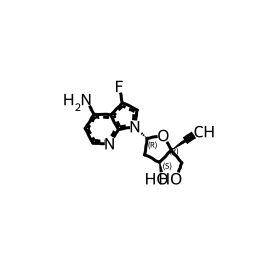 C#C[C@]1(CO)O[C@@H](n2cc(F)c3c(N)ccnc32)C[C@@H]1O